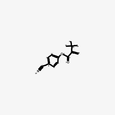 C=C(C(=O)Oc1ccc(C#N)cc1)C(C)(C)C